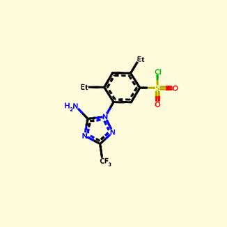 CCc1cc(CC)c(S(=O)(=O)Cl)cc1-n1nc(C(F)(F)F)nc1N